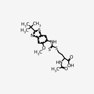 COc1cc2nc(C(C)(C)C)sc2cc1NC(=S)SCCC(NC(C)=O)C(=O)O